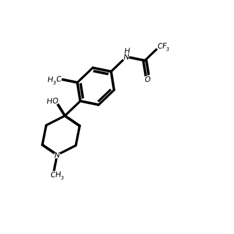 Cc1cc(NC(=O)C(F)(F)F)ccc1C1(O)CCN(C)CC1